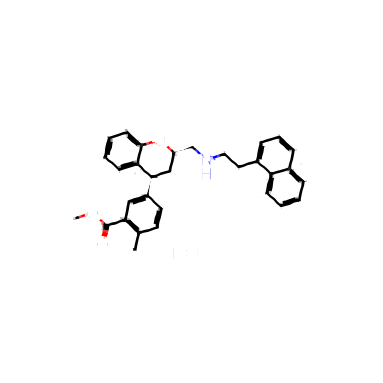 COC(=O)c1cc([C@@H]2C[C@H](CNCCc3cccc4ccccc34)Oc3ccccc32)ccc1C.Cl